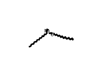 CCCCCCCCCCCCCCOCCN1CCN=C1CCCCCCCCCCCCCC